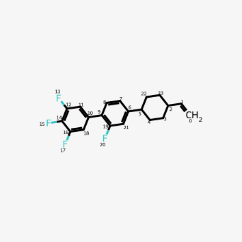 C=CC1CCC(c2ccc(-c3cc(F)c(F)c(F)c3)c(F)c2)CC1